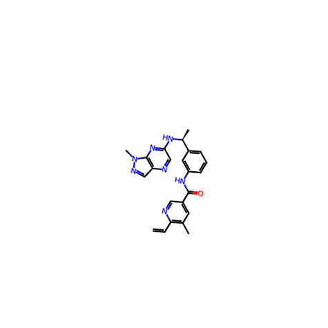 C=Cc1ncc(C(=O)Nc2cccc([C@H](C)Nc3cnc4cnn(C)c4n3)c2)cc1C